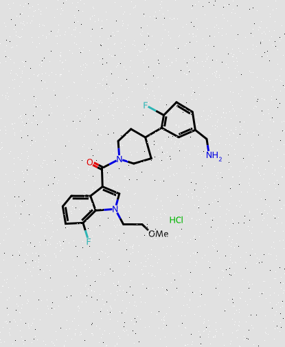 COCCn1cc(C(=O)N2CCC(c3cc(CN)ccc3F)CC2)c2cccc(F)c21.Cl